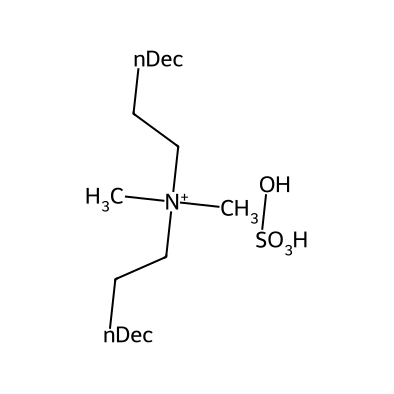 CCCCCCCCCCCC[N+](C)(C)CCCCCCCCCCCC.O=S(=O)(O)O